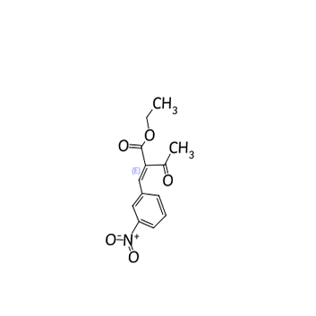 CCOC(=O)/C(=C/c1cccc([N+](=O)[O-])c1)C(C)=O